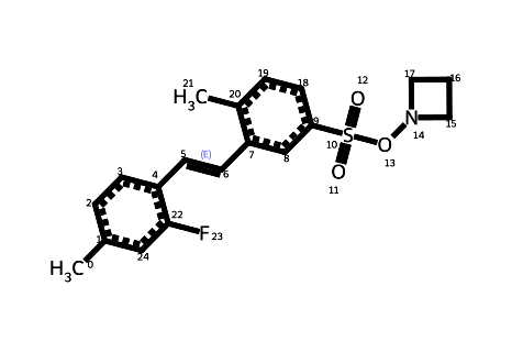 Cc1ccc(/C=C/c2cc(S(=O)(=O)ON3CCC3)ccc2C)c(F)c1